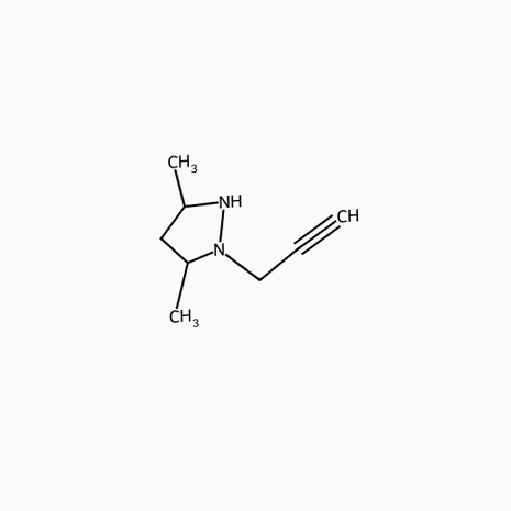 C#CCN1NC(C)CC1C